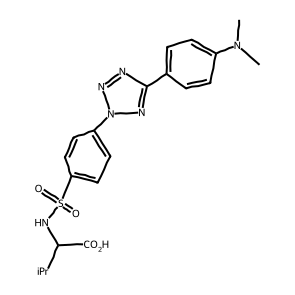 CC(C)C(NS(=O)(=O)c1ccc(-n2nnc(-c3ccc(N(C)C)cc3)n2)cc1)C(=O)O